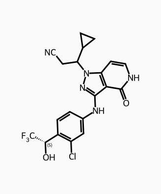 N#CCC(C1CC1)n1nc(Nc2ccc([C@H](O)C(F)(F)F)c(Cl)c2)c2c(=O)[nH]ccc21